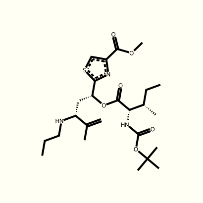 C=C(C)[C@@H](C[C@@H](OC(=O)[C@@H](NC(=O)OC(C)(C)C)[C@@H](C)CC)c1nc(C(=O)OC)cs1)NCCC